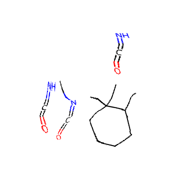 CC1CCCCC1(C)C.CN=C=O.N=C=O.N=C=O